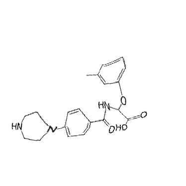 Cc1cccc(OC(NC(=O)c2ccc(N3CCNCC3)cc2)C(=O)O)c1